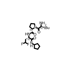 CC(C)(C)[C@H](N)C(=O)N1CCC[C@H]1C(=O)N[C@@H](CC(F)F)C(=O)NC1CCCC1